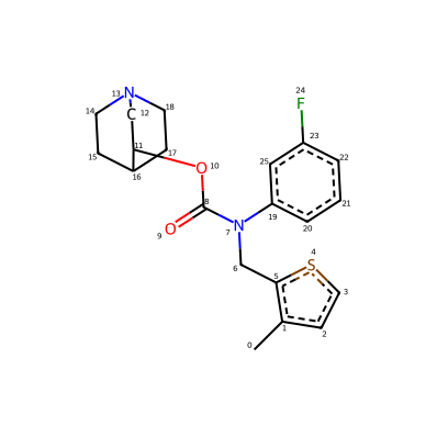 Cc1ccsc1CN(C(=O)OC1CN2CCC1CC2)c1cccc(F)c1